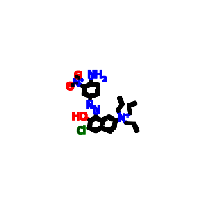 C=CC[N+](CC=C)(CC=C)c1ccc2ccc(O)c(N=Nc3ccc(N)c([N+](=O)[O-])c3)c2c1.[Cl-]